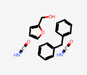 N=C=O.N=C=O.OCc1ccco1.c1ccc(Cc2ccccc2)cc1